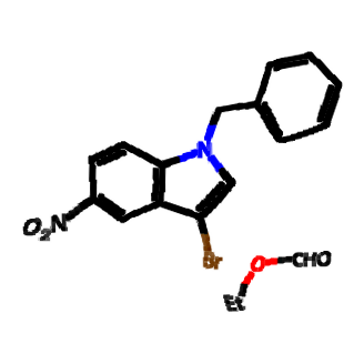 CCOC=O.O=[N+]([O-])c1ccc2c(c1)c(Br)cn2Cc1ccccc1